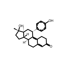 C[C@]1(O)CC[C@H]2[C@@H]3CCC4=CC(=O)CCC4=C3[C@@H](c3ccc(O)cc3)C[C@@]21C